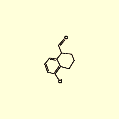 O=CC1CCCc2c(Cl)cccc21